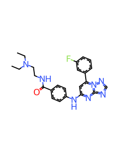 CCN(CC)CCNC(=O)c1ccc(Nc2cc(-c3cccc(F)c3)n3ncnc3n2)cc1